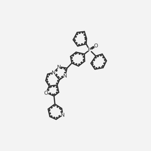 O=P(c1ccccc1)(c1ccccc1)c1ccc(-c2nc3c4cc(-c5cccnc5)oc4ccn3n2)cc1